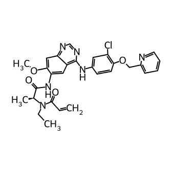 C=CC(=O)N(CC)[C@@H](C)C(=O)Nc1cc2c(Nc3ccc(OCc4ccccn4)c(Cl)c3)ncnc2cc1OC